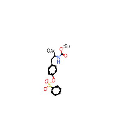 CC(=O)OC(Cc1ccc(OS(=O)(=O)c2ccccc2)cc1)NC(=O)OC(C)(C)C